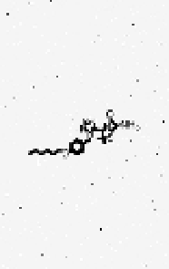 CCCCCCOc1ccc(Cn2nnnc2C2N3C(=O)C(N)C3SC2(C)C)cc1